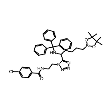 CC1(C)OB(CCCCC(NC(c2ccccc2)(c2ccccc2)c2ccccc2)c2nnnn2CCNC(=O)c2ccc(Cl)cc2)OC1(C)C